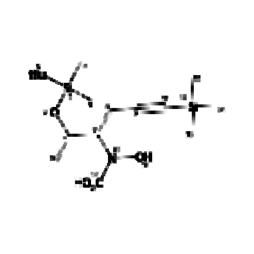 C[C@H](O[Si](C)(C)C(C)(C)C)[C@H](CC#C[Si](C)(C)C)N(O)C(=O)O